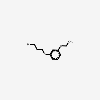 CCOc1cccc(OCCCBr)c1